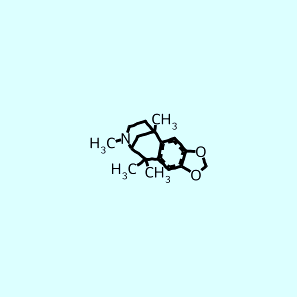 CN1CCC2(C)CC1C(C)(C)c1cc3c(cc12)OCO3